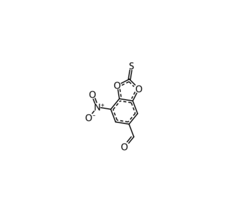 O=Cc1cc([N+](=O)[O-])c2oc(=S)oc2c1